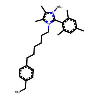 CCCCn1c(C)c(C)[n+](CCCCCCc2ccc(CC(C)(C)C)cc2)c1-c1c(C)cc(C)cc1C